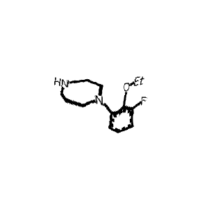 CCOc1c(F)cccc1N1CCNCC1